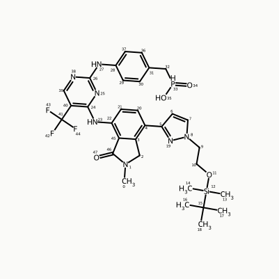 CN1Cc2c(-c3ccn(CCO[Si](C)(C)C(C)(C)C)n3)ccc(Nc3nc(Nc4ccc(C[PH](=O)O)cc4)ncc3C(F)(F)F)c2C1=O